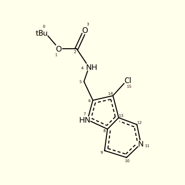 CC(C)(C)OC(=O)NCc1[nH]c2ccncc2c1Cl